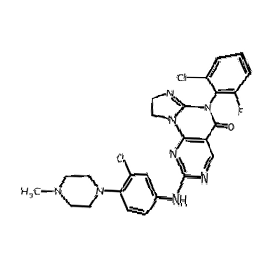 CN1CCN(c2ccc(Nc3ncc4c(n3)N3CCN=C3N(c3c(F)cccc3Cl)C4=O)cc2Cl)CC1